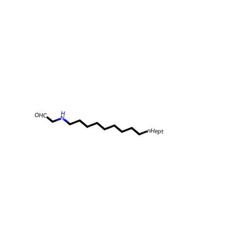 CCCCCCCCCCCCCCCCNCC=O